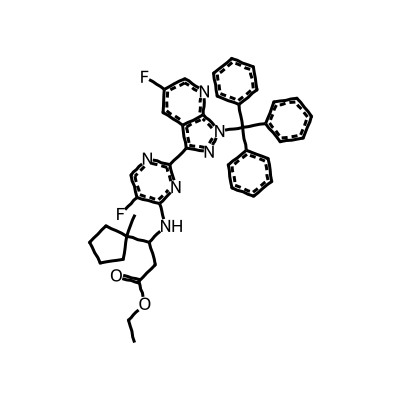 CCOC(=O)CC(Nc1nc(-c2nn(C(c3ccccc3)(c3ccccc3)c3ccccc3)c3ncc(F)cc23)ncc1F)C1(C)CCCC1